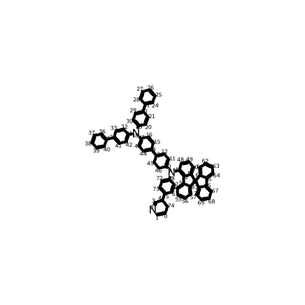 C1=CN=CC(c2ccc(N(C3=CC=C(c4ccc(N(c5ccc(-c6ccccc6)cc5)c5ccc(-c6ccccc6)cc5)cc4)CC3)c3cccc4c3-c3ccccc3C43c4ccccc4-c4ccccc43)cc2)C1